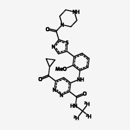 [2H]C([2H])([2H])NC(=O)c1nnc(C(=O)C2CC2)cc1Nc1cccc(-c2cnc(C(=O)N3CCNCC3)s2)c1OC